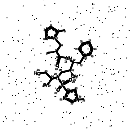 Cc1ccnn1C[C@H](C)C(=O)N[C@@H](Cc1ccccc1)[C@H](O)CN(C(CO)C(C)C)S(=O)(=O)c1cn(C)cn1